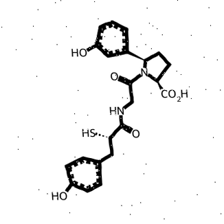 O=C(NCC(=O)N1[C@@H](c2cccc(O)c2)CC[C@H]1C(=O)O)[C@@H](S)Cc1ccc(O)cc1